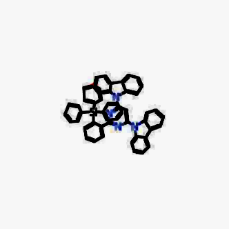 c1ccc([Si](c2ccccc2)(c2ccccc2)c2ccccc2-c2nc(-n3c4ccccc4c4ccccc43)cc(-n3c4ccccc4c4ccccc43)n2)cc1